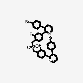 O=S(=O)(Cc1ccc(-c2ncccc2-c2ccc(Br)cc2)cc1F)Cc1ccc(-c2ncccc2-c2ccc(Br)cc2)cc1F